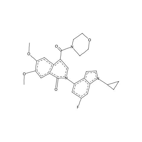 COc1cc2c(C(=O)N3CCOCC3)cn(-c3cc(F)cc4c3ccn4C3CC3)c(=O)c2cc1OC